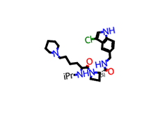 CC(C)NC(CCCCN1CCCCC1)C(=O)N1CC[C@H]1C(=O)NCc1ccc2[nH]cc(Cl)c2c1